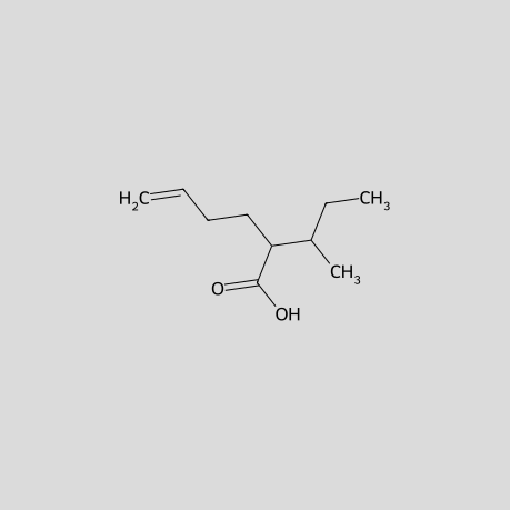 C=CCCC(C(=O)O)C(C)CC